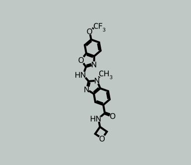 Cn1c(Nc2nc3ccc(OC(F)(F)F)cc3o2)nc2cc(C(=O)NC3COC3)ccc21